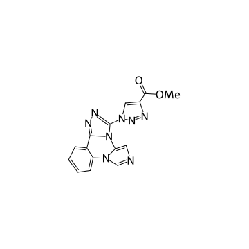 COC(=O)c1cn(-c2nnc3c4ccccc4n4cncc4n23)nn1